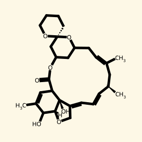 CC1=CC2C(=O)OC3CC(C/C=C(\C)C[C@@H](C)/C=C/C=C4\CO[C@H](C1O)[C@@]42O)O[C@@]1(CCCCO1)C3